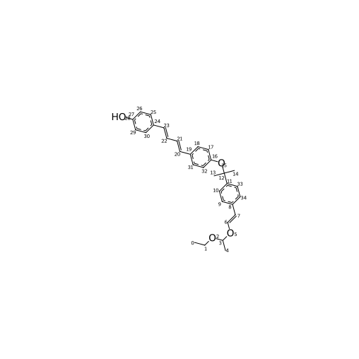 CCOC(C)OC=Cc1ccc(C(C)(C)Oc2ccc(C=CC=Cc3ccc(O)cc3)cc2)cc1